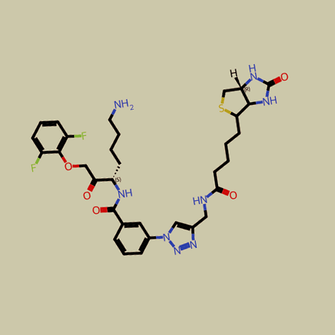 NCCCC[C@H](NC(=O)c1cccc(-n2cc(CNC(=O)CCCCC3SC[C@@H]4NC(=O)NC34)nn2)c1)C(=O)COc1c(F)cccc1F